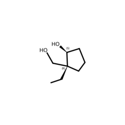 CC[C@]1(CO)CCC[C@@H]1O